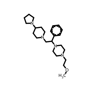 COCCN1CCN(C(CN2CCC(N3CCCC3)CC2)c2ccccc2)CC1